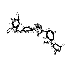 Cc1cc(Nc2cccc(-c3cn(-c4ccc(Nc5cc(C)ncc5Cl)cc4)nn3)c2)ccn1